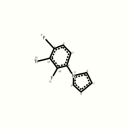 Fc1ccc(-n2cccc2)c(F)[c]1[Ti]